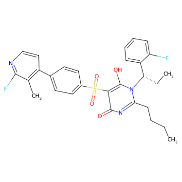 CCCCc1nc(=O)c(S(=O)(=O)c2ccc(-c3ccnc(F)c3C)cc2)c(O)n1[C@@H](CC)c1ccccc1F